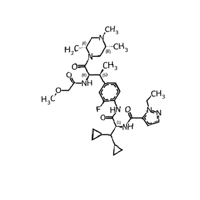 CCn1nccc1C(=O)N[C@H](C(=O)Nc1ccc([C@H](C)[C@@H](NC(=O)COC)C(=O)N2C[C@@H](C)N(C)C[C@H]2C)cc1F)C(C1CC1)C1CC1